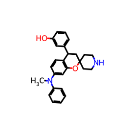 CN(c1ccccc1)c1ccc2c(c1)OC1(CCNCC1)CC2c1cccc(O)c1